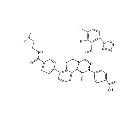 CN(C)CCNC(=O)c1ccc(-c2cccc3c2CCN(C(=O)/C=C/c2c(-n4cnnn4)ccc(Cl)c2F)[C@H]3C(=O)Nc2ccc(C(=O)O)cc2)cc1